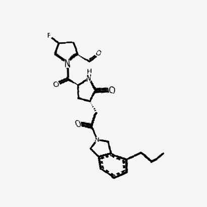 CCCc1cccc2c1CN(C(=O)C[C@@H]1C[C@@H](C(=O)N3CC(F)C[C@H]3C=O)NC1=O)C2